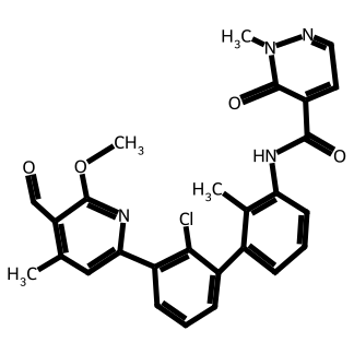 COc1nc(-c2cccc(-c3cccc(NC(=O)c4ccnn(C)c4=O)c3C)c2Cl)cc(C)c1C=O